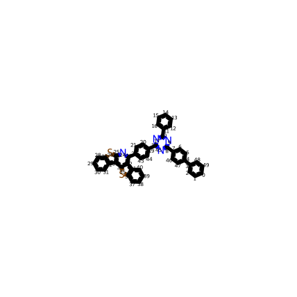 c1ccc(-c2ccc(-c3nc(-c4ccccc4)nc(-c4ccc(-c5nc6sc7ccccc7c6c6sc7ccccc7c56)cc4)n3)cc2)cc1